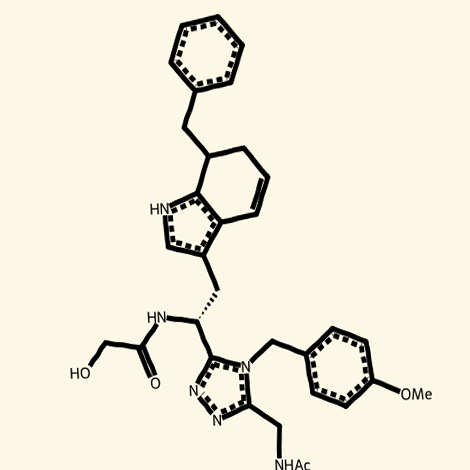 COc1ccc(Cn2c(CNC(C)=O)nnc2[C@@H](Cc2c[nH]c3c2C=CCC3Cc2ccccc2)NC(=O)CO)cc1